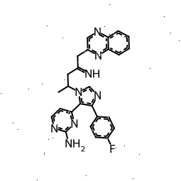 CC(CC(=N)Cc1cnc2ccccc2n1)n1cnc(-c2ccc(F)cc2)c1-c1ccnc(N)n1